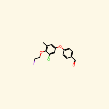 Cc1cc(Oc2ccc(C=O)cc2)cc(Cl)c1OCCI